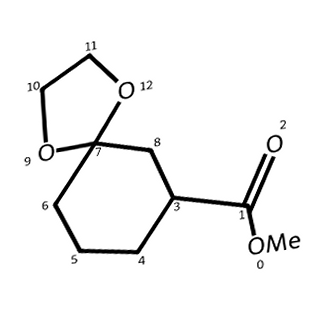 COC(=O)C1CCCC2(C1)OCCO2